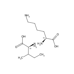 CCC(C)[C@H](N)C(=O)O.NCCCC[C@H](N)C(=O)O